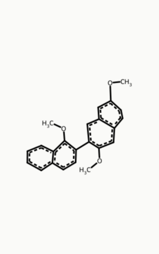 COc1ccc2cc(OC)c(-c3ccc4ccccc4c3OC)cc2c1